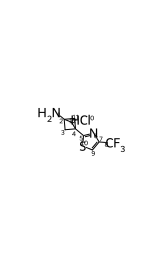 Cl.NC12CC(c3nc(C(F)(F)F)cs3)(C1)C2